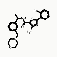 CC(NC(=O)c1sc(-c2ccccc2Cl)nc1C(F)(F)F)c1cccc(CN2CCOCC2)c1